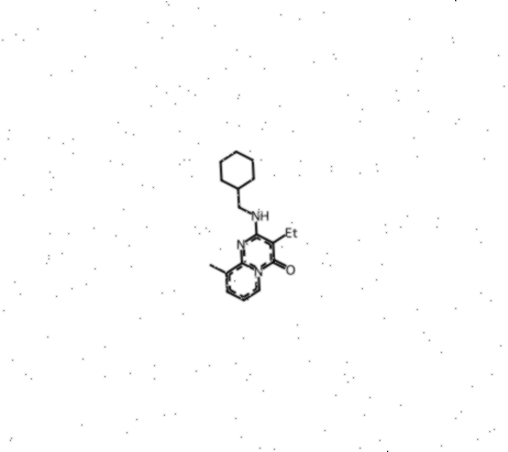 CCc1c(NCC2CCCCC2)nc2c(C)cccn2c1=O